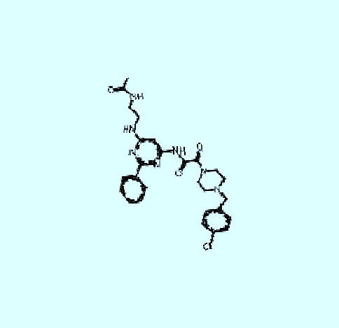 CC(=O)NCCNc1cc(NC(=O)C(=O)N2CCN(Cc3ccc(Cl)cc3)CC2)nc(-c2ccccc2)n1